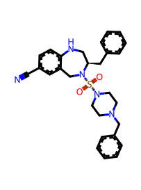 N#Cc1ccc2c(c1)CN(S(=O)(=O)N1CCN(Cc3ccccc3)CC1)[C@H](Cc1ccccc1)CN2